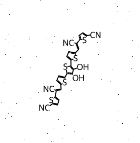 N#C/C(=C\c1ccc(-c2sc(-c3ccc(/C=C(\C#N)c4ccc(C#N)s4)s3)c(O)c2O)s1)c1ccc(C#N)s1